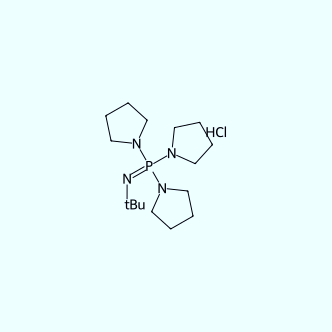 CC(C)(C)N=P(N1CCCC1)(N1CCCC1)N1CCCC1.Cl